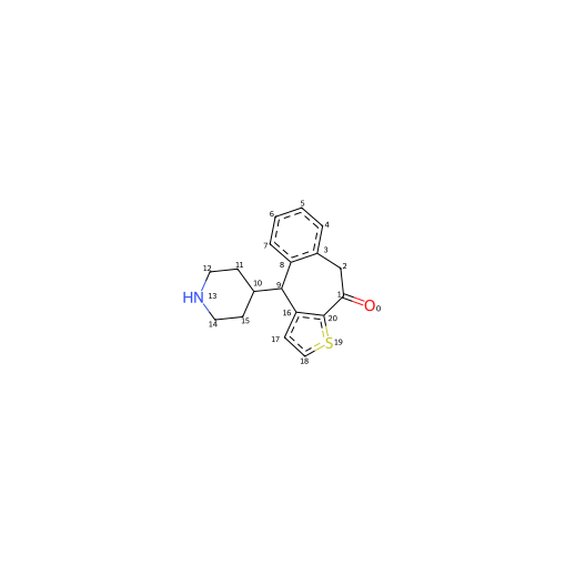 O=C1Cc2ccccc2C(C2CCNCC2)c2ccsc21